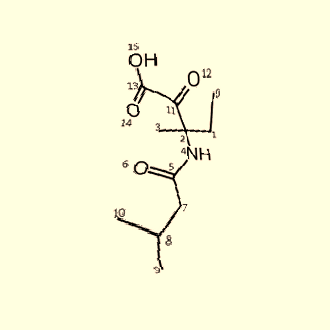 CCC(C)(NC(=O)CC(C)C)C(=O)C(=O)O